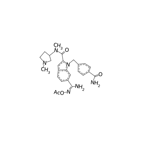 CC(=O)O/N=C(/N)c1ccc2cc(C(=O)N(C)C3CCN(C)C3)n(Cc3ccc(C(N)=O)cc3)c2c1